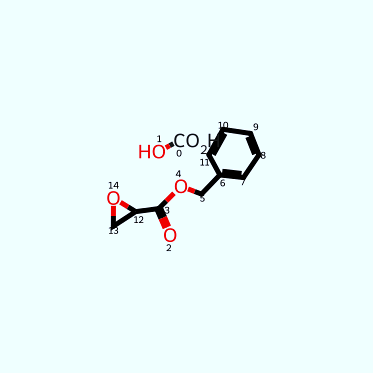 O=C(O)O.O=C(OCc1ccccc1)C1CO1